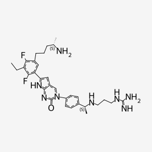 CCc1c(F)c(CCC[C@H](C)N)cc(-c2cc3cn(-c4ccc([C@H](C)NCCCNC(=N)N)cc4)c(=O)nc3[nH]2)c1F